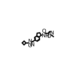 Cc1ncc(C(=O)NC2CCc3cc(-c4noc(C5CCC5)n4)ccc32)o1